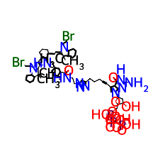 CC1(C)C(/C=C/C2=C(NCc3cccc(C(=O)NCCn4cc(CCCC#Cc5cn(C6C[C@@H](O)C(COP(=O)(O)OP(=O)(O)OP(=O)(O)O)O6)c6nc(N)[nH]c(=O)c56)nn4)c3)C(=C/C=C3/N(/C=C/Br)c4ccccc4C3(C)C)/CCC2)=[N+](/C=C/Br)c2ccccc21